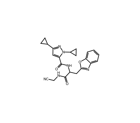 N#CCNC(=O)C(Cc1nc2ccccc2o1)NC(=O)c1cc(C2CC2)nn1C1CC1